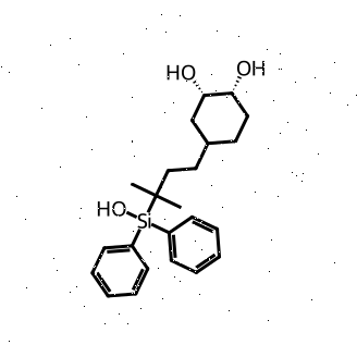 CC(C)(CCC1CC[C@@H](O)[C@@H](O)C1)[Si](O)(c1ccccc1)c1ccccc1